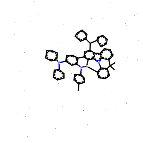 Cc1ccc(N2B3c4cccc5c4-n4c6c(cccc6c6c(C(c7ccccc7)c7ccccc7)cc(c3c64)-c3ccc(N(c4ccccc4)c4ccccc4)cc32)C5(C)C)cc1